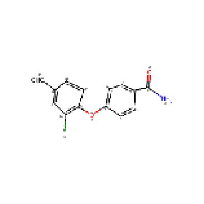 NC(=O)c1ccc(Oc2ccc(C=O)cc2F)cc1